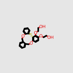 OCCOc1ccc2c(c1OCCO)Sc1ccccc1OCc1ccccc1CO2